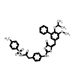 COc1cc(/C=C2/SC(Nc3ccc(CC(=O)NS(=O)(=O)c4ccc(C)cc4)cc3)=NC2=O)cc(-c2ccccc2)c1OC(C)C